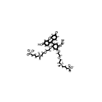 C[N+](C)(CCCS(=O)(=O)[O-])CCOCCOc1cc(OCCOCC[N+](C)(C)CCCS(=O)(=O)[O-])c(-c2c3ccc(=O)cc-3oc3cc(O)ccc23)cc1N=[N+]=[N-]